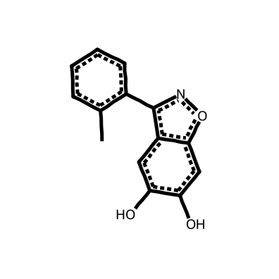 Cc1ccccc1-c1noc2cc(O)c(O)cc12